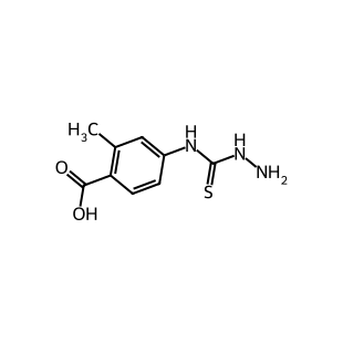 Cc1cc(NC(=S)NN)ccc1C(=O)O